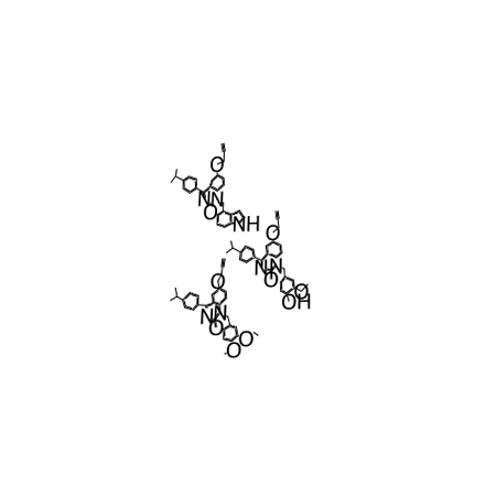 C#CCOc1ccc2c(c1)c(-c1ccc(C(C)C)cc1)nc(=O)n2Cc1ccc(O)c(OC)c1.C#CCOc1ccc2c(c1)c(-c1ccc(C(C)C)cc1)nc(=O)n2Cc1ccc(OC)c(OCC)c1.C#CCOc1ccc2c(c1)c(-c1ccc(C(C)C)cc1)nc(=O)n2Cc1cccc2[nH]ccc12